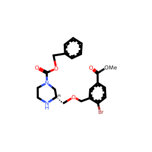 COC(=O)c1ccc(Br)c(COC[C@H]2CN(C(=O)OCc3ccccc3)CCN2)c1